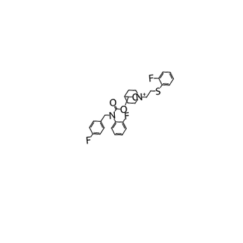 O=C(OC1C[N+]2(CCSc3ccccc3F)CCC1CC2)N(Cc1ccc(F)cc1)c1ccccc1F